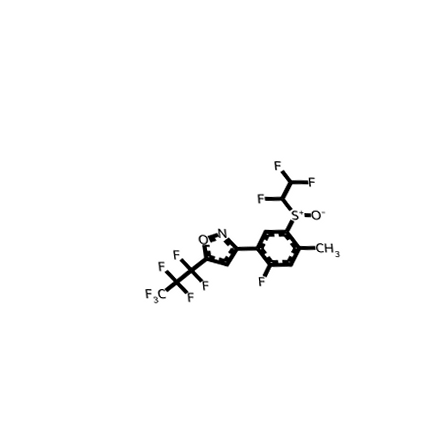 Cc1cc(F)c(-c2cc(C(F)(F)C(F)(F)C(F)(F)F)on2)cc1[S+]([O-])C(F)C(F)F